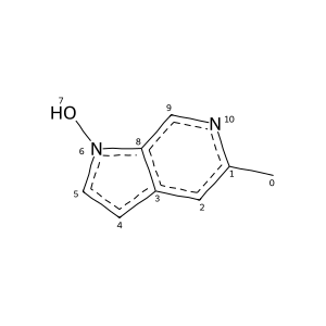 Cc1cc2ccn(O)c2cn1